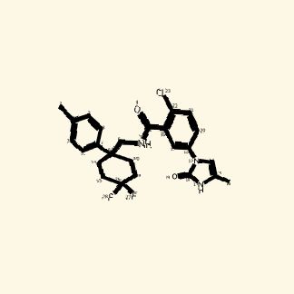 Cc1ccc(C2(CNC(=O)c3cc(-n4cc(C)[nH]c4=O)ccc3Cl)CCC(F)(F)CC2)cc1